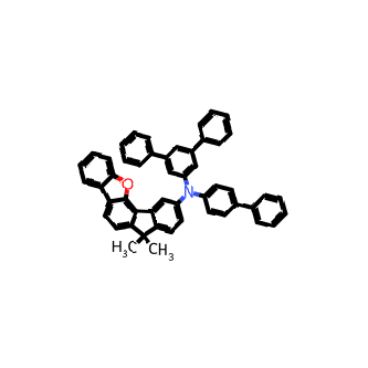 CC1(C)c2ccc(N(c3ccc(-c4ccccc4)cc3)c3cc(-c4ccccc4)cc(-c4ccccc4)c3)cc2-c2c1ccc1c2oc2ccccc21